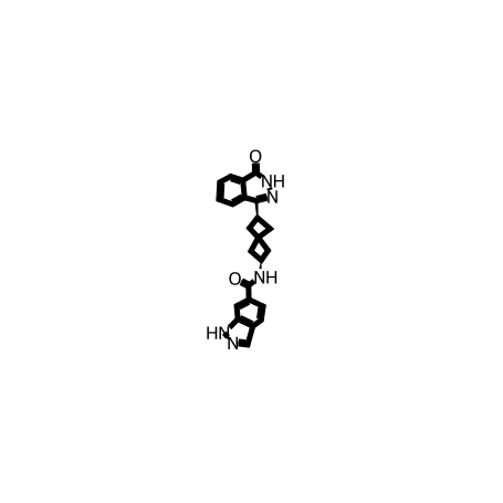 O=C(N[C@H]1CC2(C1)C[C@H](c1n[nH]c(=O)c3ccccc31)C2)c1ccc2cn[nH]c2c1